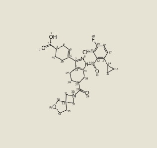 O=C(O)C1CC=C(c2nn(C(=O)c3c(C4CC4)ccc(F)c3Cl)c3c2CCC(C(=O)N2CC4(CCOC4)C2)C3)CC1